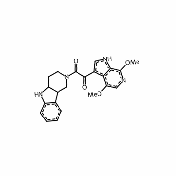 COc1ncc(OC)c2c(C(=O)C(=O)N3CCC4Nc5ccccc5C4C3)c[nH]c12